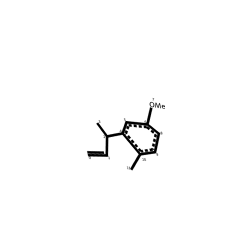 C=C[C](C)c1cc(OC)ccc1C